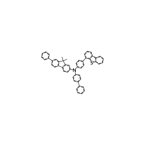 CC1(C)c2cc(-c3ccccc3)ccc2-c2ccc(N(c3ccc(-c4ccccc4)cc3)c3ccc(-c4cccc5c4sc4ccccc45)cc3)cc21